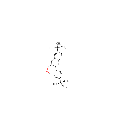 CC(C)(C)C1=CC2COCC3C=c4cc(C(C)(C)C)ccc4=CC3C2C=C1